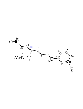 CNO/C(C=CCOc1cccc(F)c1)=C\CC=O